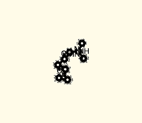 c1ccc(C2N=C(c3ccc4oc5cc(-c6cccc7oc8c(-n9c%10ccccc%10c%10ccccc%109)cccc8c67)ccc5c4c3)NC(c3ccccc3)N2)cc1